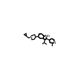 Cc1cc(-c2[nH]c3ccc(C4CCN(CC5CC5)CC4)cc3c2C(C)C)ccn1